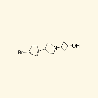 OC1CC(N2CCC(c3ccc(Br)cc3)CC2)C1